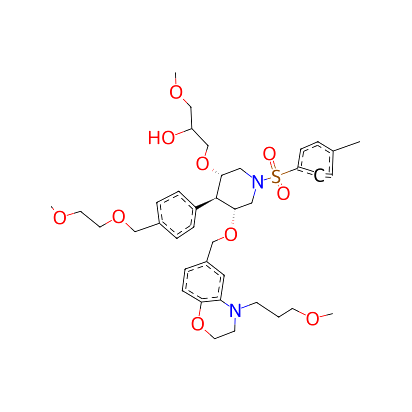 COCCCN1CCOc2ccc(CO[C@H]3CN(S(=O)(=O)c4ccc(C)cc4)C[C@@H](OCC(O)COC)[C@@H]3c3ccc(COCCOC)cc3)cc21